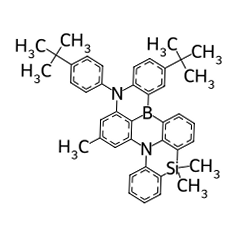 Cc1cc2c3c(c1)N1c4ccccc4[Si](C)(C)c4cccc(c41)B3c1cc(C(C)(C)C)ccc1N2c1ccc(C(C)(C)C)cc1